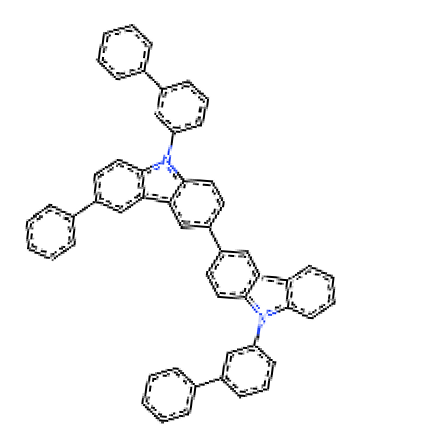 c1ccc(-c2cccc(-n3c4ccccc4c4cc(-c5ccc6c(c5)c5cc(-c7ccccc7)ccc5n6-c5cccc(-c6ccccc6)c5)ccc43)c2)cc1